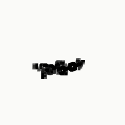 CCN(CC(=O)N(C)c1cc(-c2ccc(C(F)(F)F)cc2)ncn1)C(=O)O